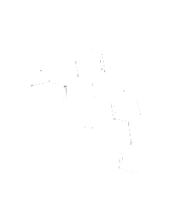 COc1c(Nc2cc(Cl)ncc2C(=O)C2CC2)cccc1C(=N)/N=C\N